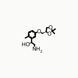 Cc1ccc(OC[C@H]2COC(C)(C)O2)cc1[C@H](O)CN